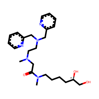 CN(CCN(Cc1ccccn1)Cc1ccccn1)CC(=O)N(C)CCCC[C@@H](O)CO